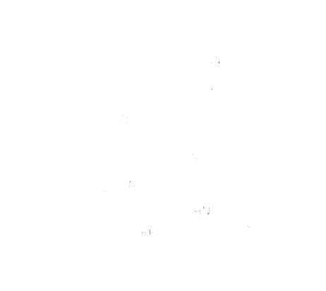 CC(C(=O)NC1CCCC1)N(C(=O)Cc1ccccc1)C1CCCCC1